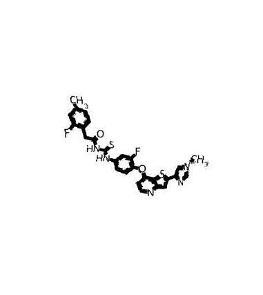 Cc1ccc(CC(=O)NC(=S)Nc2ccc(Oc3ccnc4cc(-c5cn(C)cn5)sc34)c(F)c2)c(F)c1